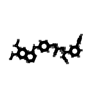 COc1cc2nccc(Oc3ccc(NC(=O)NN(C=O)c4cccc(C#N)c4)cc3)c2cc1OC